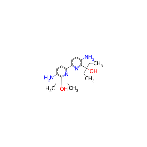 CCC(O)(CC)c1nc(-c2ccc(N)c(C(O)(CC)CC)n2)ccc1N